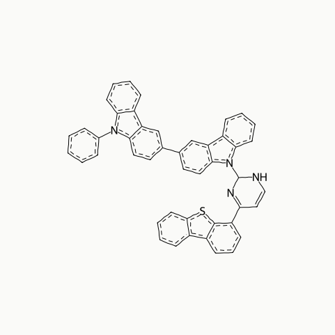 C1=CC(c2cccc3c2sc2ccccc23)=NC(n2c3ccccc3c3cc(-c4ccc5c(c4)c4ccccc4n5-c4ccccc4)ccc32)N1